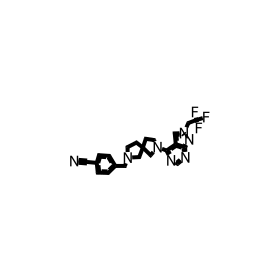 N#Cc1ccc(CN2CCC3(CCN(c4ncnc5nn(CC(F)(F)F)cc45)C3)C2)cc1